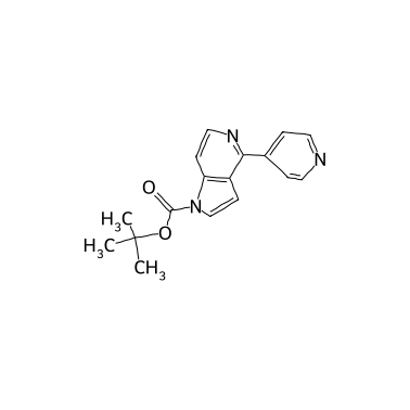 CC(C)(C)OC(=O)n1ccc2c(-c3ccncc3)nccc21